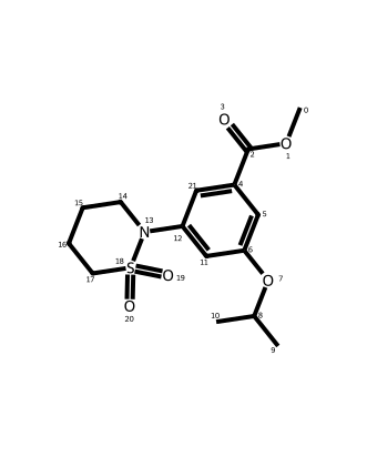 COC(=O)c1cc(OC(C)C)cc(N2CCCCS2(=O)=O)c1